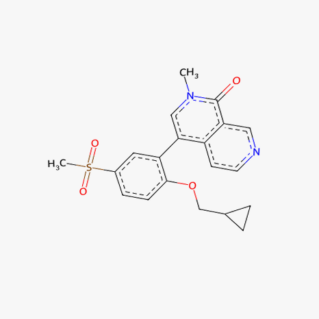 Cn1cc(-c2cc(S(C)(=O)=O)ccc2OCC2CC2)c2ccncc2c1=O